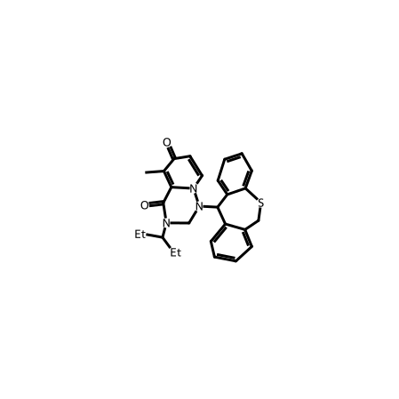 CCC(CC)N1CN(C2c3ccccc3CSc3ccccc32)n2ccc(=O)c(C)c2C1=O